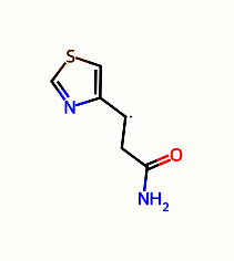 NC(=O)C[CH]c1cscn1